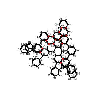 c1ccc(-c2cccc(-c3cccc(-c4cccc(-c5ccccc5)c4)c3N3c4cc5c(cc4B4c6cc7c8ccccc8n(-c8ccccc8)c7cc6N(c6c(-c7cccc(-c8ccccc8)c7)cccc6-c6cccc(-c7ccccc7)c6)c6cc(-c7ccccc7)cc3c64)c3ccccc3n5-c3ccccc3)c2)cc1